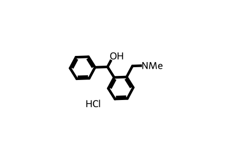 CNCc1ccccc1C(O)c1ccccc1.Cl